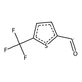 O=[C]c1ccc(C(F)(F)F)s1